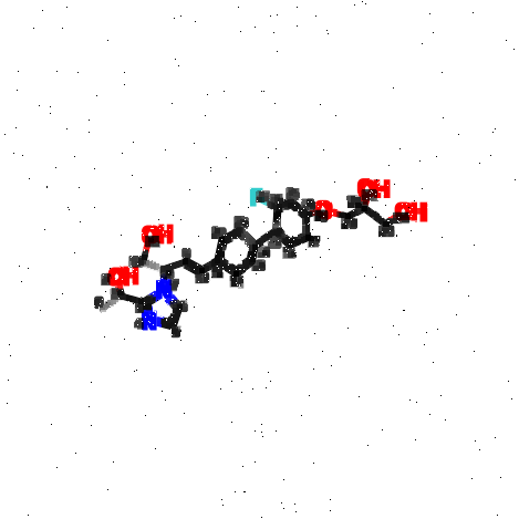 C[C@H](O)c1nccn1[C@@H](/C=C/c1ccc(-c2ccc(OC[C@@H](O)CO)cc2F)cc1)CO